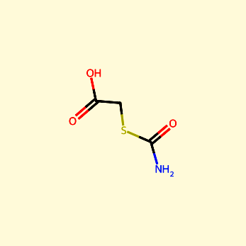 NC(=O)SCC(=O)O